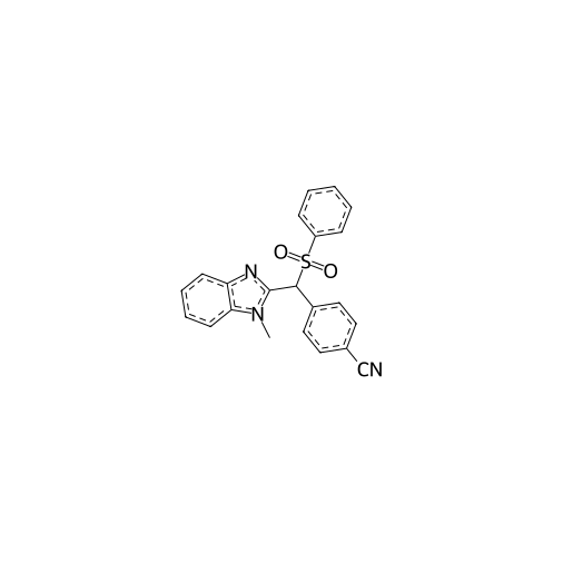 Cn1c(C(c2ccc(C#N)cc2)S(=O)(=O)c2ccccc2)nc2ccccc21